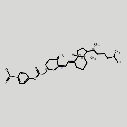 C=C1CC[C@H](OC(=O)Oc2ccc([N+](=O)[O-])cc2)C/C1=C/C=C1\CCC[C@]2(C)C([C@H](C)CCCC(C)C)CC[C@@H]12